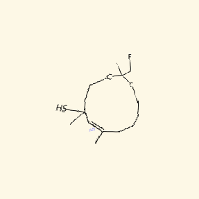 C/C1=C/C(C)(S)CCCC(C)(CF)CCCCC1